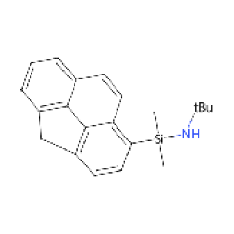 CC(C)(C)N[Si](C)(C)c1ccc2c3c1ccc1cccc(c13)C2